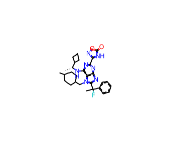 CC1CCC(Cn2c(C(C)(F)c3ccccc3)nc3nc(-c4noc(=O)[nH]4)nc(N[C@H](C)C4CCC4)c32)CC1